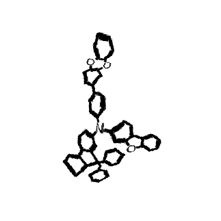 c1ccc(C2(c3ccccc3)c3ccccc3-c3ccc(N(c4ccc(-c5ccc6c(c5)Oc5ccccc5O6)cc4)c4ccc5c(c4)oc4ccccc45)cc32)cc1